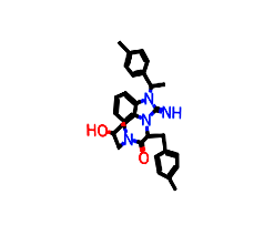 Cc1ccc(CC(C(=O)N2CC(O)C2)n2c(=N)n(C(C)c3ccc(C)cc3)c3ccccc32)cc1